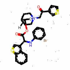 O=C(C[N+]12CCC(CC1)[C@@H](OC(=O)C(Nc1ccccc1)c1csc3ccccc13)C2)c1ccsc1.[Br-]